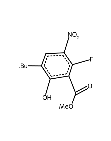 COC(=O)c1c(O)c(C(C)(C)C)cc([N+](=O)[O-])c1F